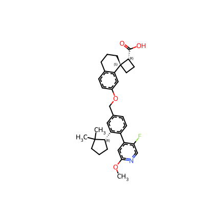 COc1cc(-c2ccc(COc3ccc4c(c3)[C@@]3(CCC4)CC[C@H]3C(=O)O)cc2[C@@H]2CCCC2(C)C)c(F)cn1